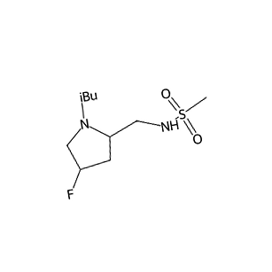 CCC(C)N1CC(F)CC1CNS(C)(=O)=O